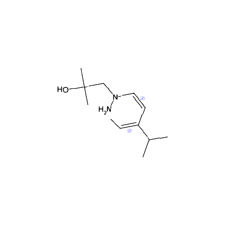 C/C=C(\C=C/N(N)CC(C)(C)O)C(C)C